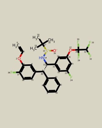 C=COc1cc([C@@H](c2ccccc2)C(N[S+]([O-])C(C)(C)C)c2cc(F)cc(OC(F)(F)C(F)F)c2)ccc1F